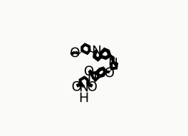 COC[C@@H]1CCC[C@@H](c2ccc3cc(CN4CC[C@H](Oc5ccc6c(c5)CN(C5CCC(=O)NC5=O)C6=O)C4)ccc3n2)C1